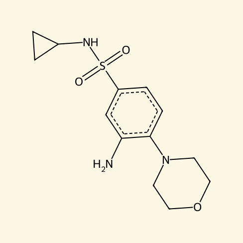 Nc1cc(S(=O)(=O)NC2CC2)ccc1N1CCOCC1